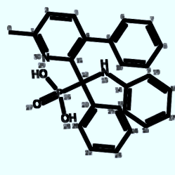 Cc1ccc(-c2ccccc2)c(C(Nc2ccccc2)(c2ccccc2)P(=O)(O)O)n1